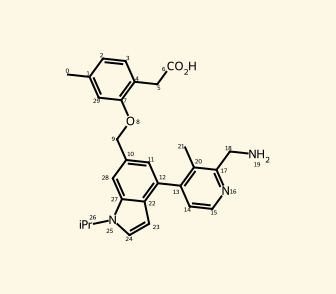 Cc1ccc(CC(=O)O)c(OCc2cc(-c3ccnc(CN)c3C)c3ccn(C(C)C)c3c2)c1